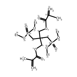 C=C(C)C(=O)OCC(COC(=O)C(=C)C)(CP(=O)(OCC)OCC)CP(=O)(OCC)OCC